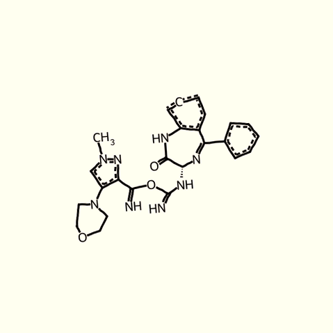 Cn1cc(N2CCOCC2)c(C(=N)OC(=N)N[C@H]2N=C(c3ccccc3)c3ccccc3NC2=O)n1